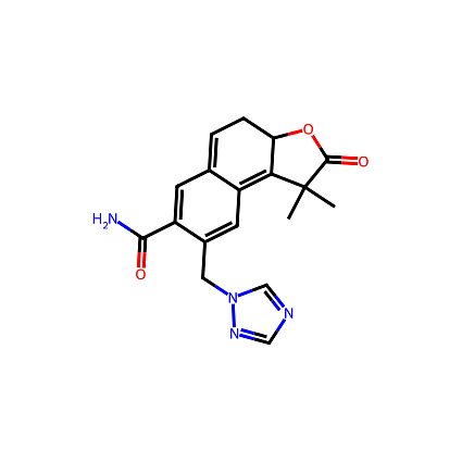 CC1(C)C(=O)OC2CC=c3cc(C(N)=O)c(Cn4cncn4)cc3=C21